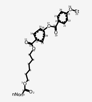 CCCCCCCCCC(=O)OCCCCCCOC(=O)c1ccc(OC(=O)c2ccc(OCC)cc2)cc1